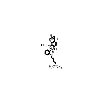 CN(C)CCCCNc1ccccc1S(=O)(=O)Nc1ccc2c(c1OC(=O)O)OC[C@H]1C[C@@H]21